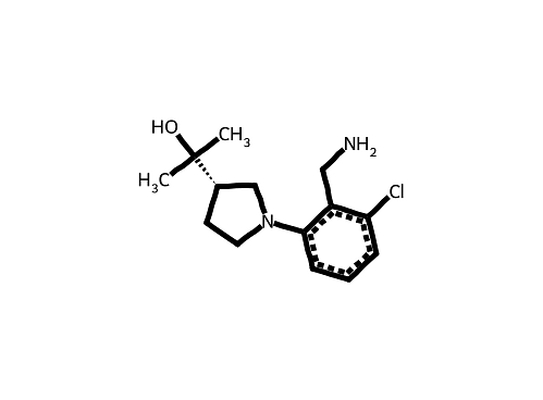 CC(C)(O)[C@H]1CCN(c2cccc(Cl)c2CN)C1